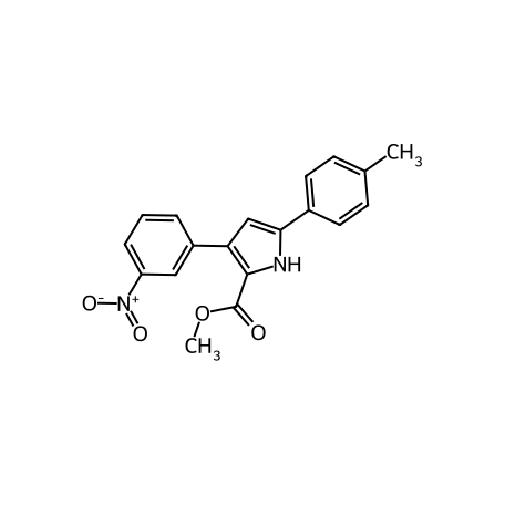 COC(=O)c1[nH]c(-c2ccc(C)cc2)cc1-c1cccc([N+](=O)[O-])c1